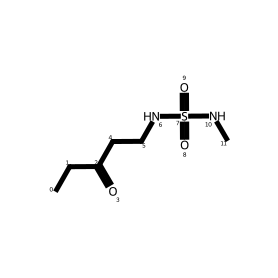 CCC(=O)CCNS(=O)(=O)NC